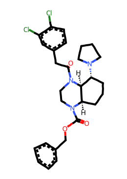 O=C(Cc1ccc(Cl)c(Cl)c1)N1CCN(C(=O)OCc2ccccc2)[C@@H]2CCC[C@@H](N3CCCC3)[C@@H]21